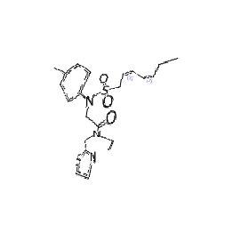 CC/C=C\C=C/CS(=O)(=O)N(CC(=O)N(CC)Cc1nccs1)c1ccc(C)cc1